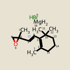 Br.CC1=C(/C=C/C2(C)CO2)C(C)(C)CCC1.[MgH2]